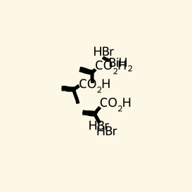 Br.Br.Br.C=C(C)C(=O)O.C=C(C)C(=O)O.C=C(C)C(=O)O.[CH3][BiH2]